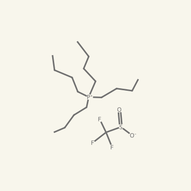 CCCC[P+](CCCC)(CCCC)CCCC.O=S([O-])C(F)(F)F